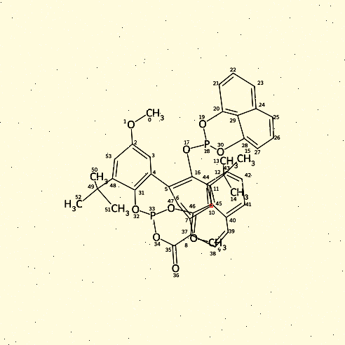 COc1cc(-c2cc(OC)cc(C(C)(C)C)c2OP2Oc3cccc4cccc(c34)O2)c(OP2OC(=O)c3ccc4ccccc4c3O2)c(C(C)(C)C)c1